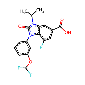 CC(C)n1c(=O)n(-c2cccc(OC(F)F)c2)c2c(F)cc(C(=O)O)cc21